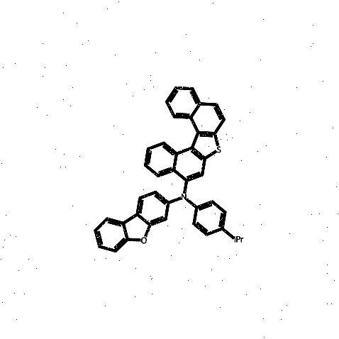 CC(C)c1ccc(N(c2ccc3c(c2)oc2ccccc23)c2cc3sc4ccc5ccccc5c4c3c3ccccc23)cc1